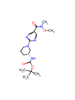 CON(C)C(=O)c1cnc(N2CCC[C@@H](NC(=O)OC(C)(C)C)C2)nc1